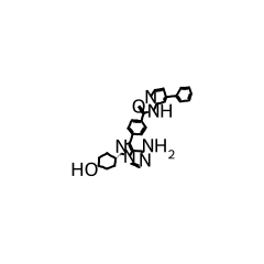 Nc1nccn2c1c(-c1ccc(C(=O)Nc3cc(-c4ccccc4)ccn3)cc1)nc2[C@H]1CC[C@H](O)CC1